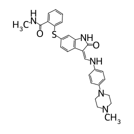 CNC(=O)c1ccccc1Sc1ccc2c(c1)NC(=O)C2=CNc1ccc(N2CCN(C)CC2)cc1